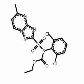 CCOC(=O)N(c1c(Cl)cccc1Cl)S(=O)(=O)c1nc2nc(C)ccn2n1